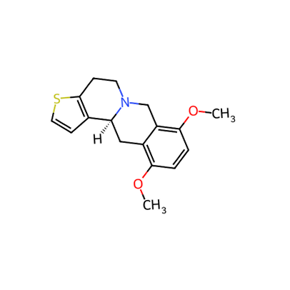 COc1ccc(OC)c2c1C[C@H]1c3ccsc3CCN1C2